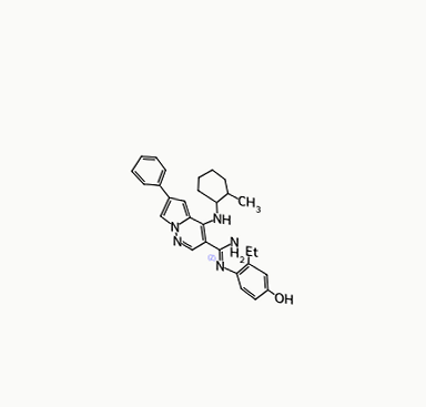 CCc1cc(O)ccc1/N=C(\N)c1cnn2cc(-c3ccccc3)cc2c1NC1CCCCC1C